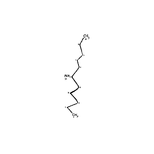 CCCCCCCCCCC.[Na]